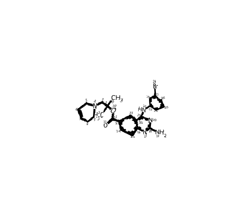 CC(C)(CN1CC=CCC1)OC(=O)c1ccc2nc(N)nc(Nc3cccc(Br)c3)c2c1